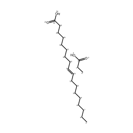 CCC(=O)O.CCCCCCCCC=CCCCCCCCC(=O)O